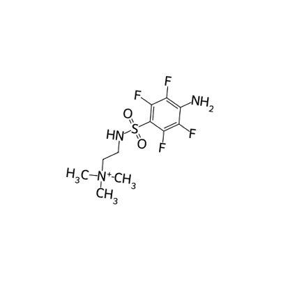 C[N+](C)(C)CCNS(=O)(=O)c1c(F)c(F)c(N)c(F)c1F